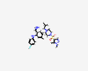 Cc1cc(Nc2ccc(F)cc2)c(C=N)cc1[C@H]1CN(S(=O)(=O)c2cnn(C)c2C)CCN1CC(C)C